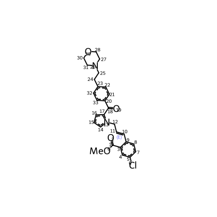 COC(=O)c1cc(Cl)ccc1/C=C/Cn1cccc1C(=O)c1ccc(CCN2CCOCC2)cc1